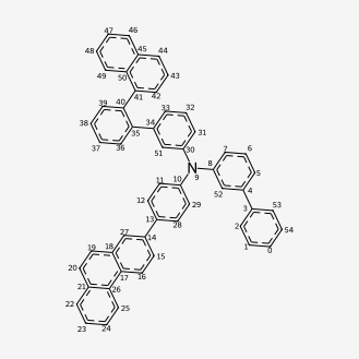 c1ccc(-c2cccc(N(c3ccc(-c4ccc5c(ccc6ccccc65)c4)cc3)c3cccc(-c4ccccc4-c4cccc5ccccc45)c3)c2)cc1